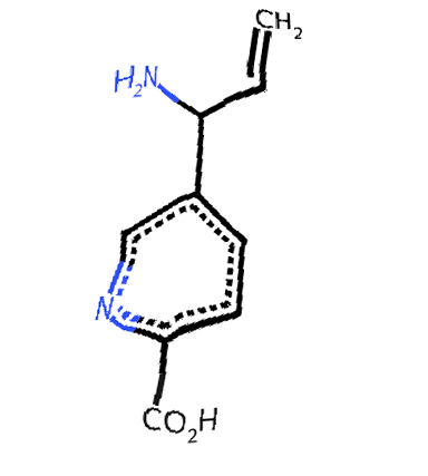 C=CC(N)c1ccc(C(=O)O)nc1